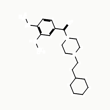 COc1ccc(C(=O)N2CCN(CCC3CCCCC3)CC2)cc1OC